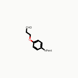 CCCCCc1ccc(OCCC=O)cc1